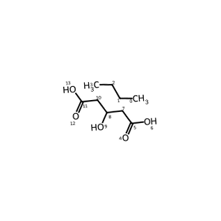 CCCC.O=C(O)CC(O)CC(=O)O